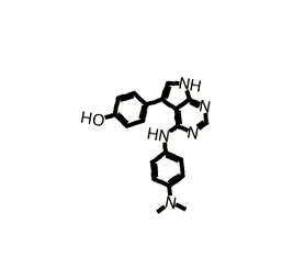 CN(C)c1ccc(Nc2ncnc3[nH]cc(-c4ccc(O)cc4)c23)cc1